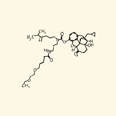 CCOCCOCCCCC(=O)NCCCN(CCCNC(C)C)C(=O)Oc1ccc2c3c1O[C@H]1C(=O)CC[C@@]4(O)[C@@H](C2)N(CC2CC2)CC[C@]314